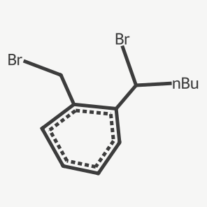 CCCCC(Br)c1ccccc1CBr